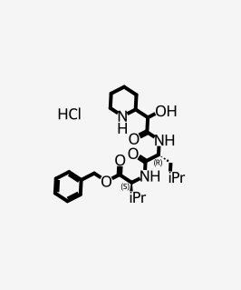 CC(C)C[C@@H](NC(=O)C(O)C1CCCCN1)C(=O)N[C@H](C(=O)OCc1ccccc1)C(C)C.Cl